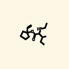 C=CC1(OC(=O)C(PCC)C(C)CC)CCCC1